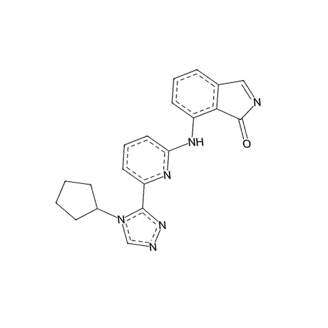 O=C1N=Cc2cccc(Nc3cccc(-c4nncn4C4CCCC4)n3)c21